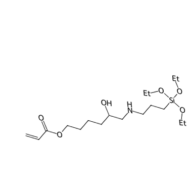 C=CC(=O)OCCCCC(O)CNCCC[Si](OCC)(OCC)OCC